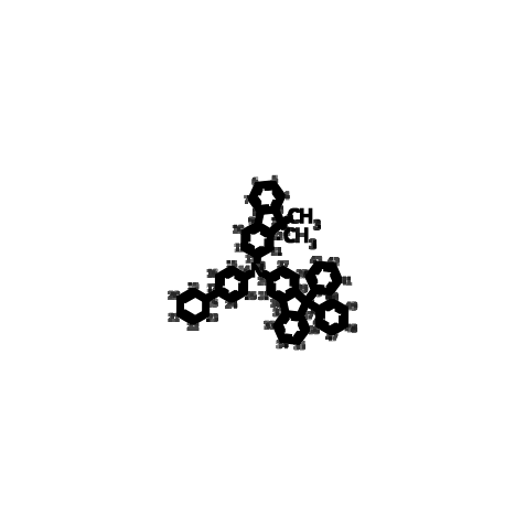 CC1(C)c2ccccc2-c2ccc(N(c3ccc(C4C=CC=CC4)cc3)c3ccc4c(c3)-c3ccccc3C4(c3ccccc3)c3ccccc3)cc21